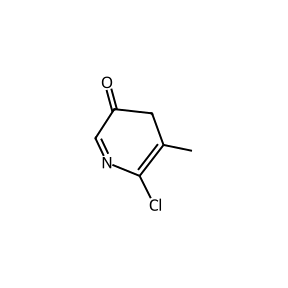 CC1=C(Cl)N=CC(=O)C1